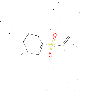 C=CS(=O)(=O)C1=CCCCC1